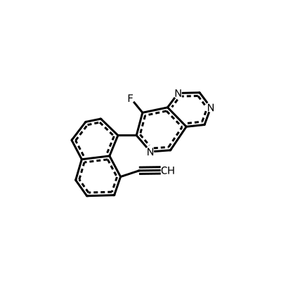 C#Cc1cccc2cccc(-c3ncc4cncnc4c3F)c12